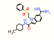 CC1CCC(NC(=O)c2cc3ccc(C(=N)N)cc3n2CCS(=O)(=O)c2ccccc2)CC1